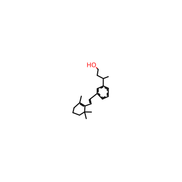 CC1=C(/C=C/c2cccc(C(C)CCO)c2)C(C)(C)CCC1